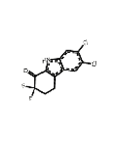 O=C1c2[nH]c3cc(Cl)c(Cl)cc3c2CCC1(F)F